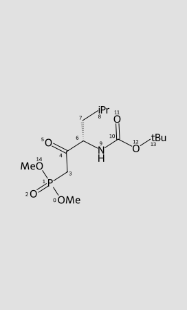 COP(=O)(CC(=O)[C@H](CC(C)C)NC(=O)OC(C)(C)C)OC